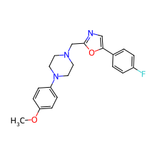 COc1ccc(N2CCN(Cc3ncc(-c4ccc(F)cc4)o3)CC2)cc1